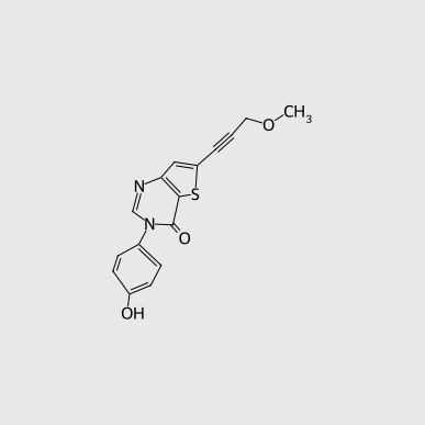 COCC#Cc1cc2ncn(-c3ccc(O)cc3)c(=O)c2s1